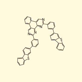 c1cc(-c2ccc3c(c2)sc2ccccc23)cc(-c2ncc3c4ccccc4c4cnc(-c5cccc(-c6ccc7c(c6)sc6ccccc67)c5)nc4c3n2)c1